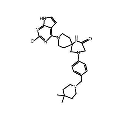 CC1(C)CCN(Cc2ccc(N3CC(=O)NC4(CCN(c5nc(Cl)nc6[nH]ccc56)CC4)C3)cc2)CC1